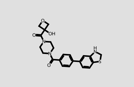 O=C(c1ccc(-c2ccc3c(c2)NCS3)cc1)N1CCN(C(=O)C2(O)COC2)CC1